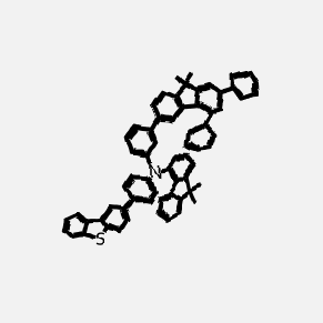 CC1(C)c2ccc(-c3cccc(N(c4ccc(-c5ccc6sc7ccccc7c6c5)cc4)c4cccc5c4-c4ccccc4C5(C)C)c3)cc2-c2c(-c3ccccc3)cc(-c3ccccc3)cc21